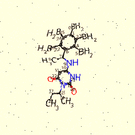 Bc1c(B)c(B)c([C@H](C)Nc2cc(=O)n(C(C)CC)c(=O)[nH]2)c(B)c1B